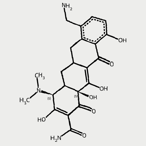 CN(C)[C@@H]1C(O)=C(C(N)=O)C(=O)[C@@]2(O)C(O)=C3C(=O)c4c(O)ccc(CN)c4CC3CC12